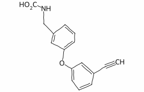 C#Cc1cccc(Oc2cccc(CNC(=O)O)c2)c1